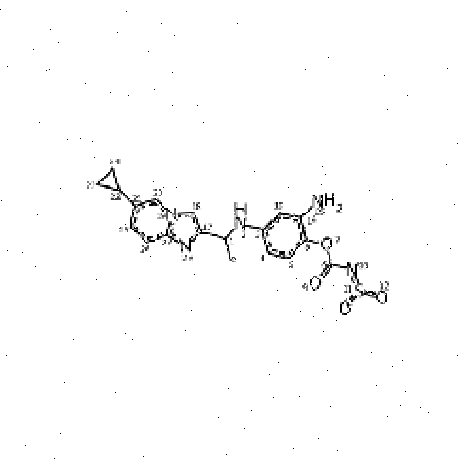 CC(Nc1ccc(OC(=O)N=S(=O)=O)c(N)c1)c1cn2cc(C3CC3)ccc2n1